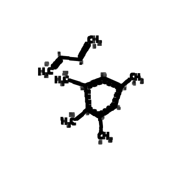 C=CC=C.Cc1cc(C)c(C)c(C)c1